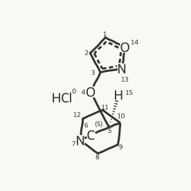 Cl.c1cc(O[C@@H]2CN3CCC2CC3)no1